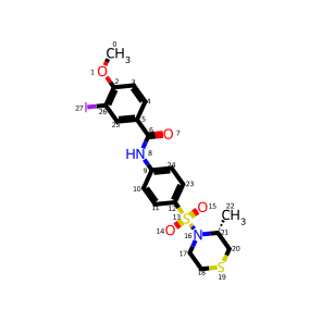 COc1ccc(C(=O)Nc2ccc(S(=O)(=O)N3CCSC[C@H]3C)cc2)cc1I